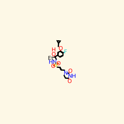 CCC(O)(CNS(=O)(=O)C/C=C/CN1CCC(=O)NC1=O)c1ccc(F)c(OCC2CC2)c1